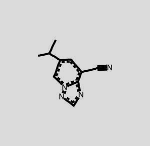 CC(C)c1cc(C#N)c2ncnn2c1